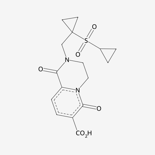 O=C(O)c1ccc2n(c1=O)CCN(CC1(S(=O)(=O)C3CC3)CC1)C2=O